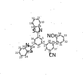 N#Cc1cc(-c2cc(-c3nc4ccccc4s3)cc(-c3nc4ccccc4s3)c2)cc(-c2ccccc2C#N)c1